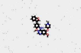 [2H]N1CCC(Oc2cc3c(Nc4cc(-c5coc6ccccc56)ccc4OC)ncnc3cc2OC)CC1